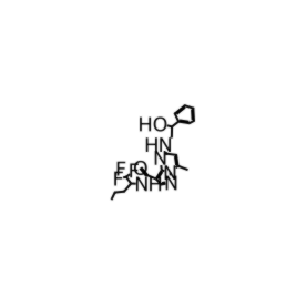 CCCC(NC(=O)c1cnn2c(C)cc(NCC(O)c3ccccc3)nc12)C(F)(F)F